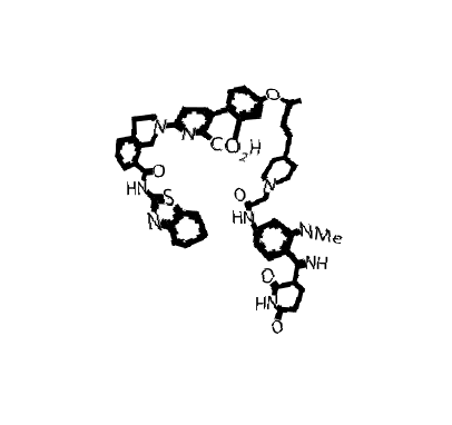 CNc1cc(NC(=O)CN2CCC(CCC(C)Oc3ccc(-c4ccc(N5CCc6cccc(C(=O)Nc7nc8ccccc8s7)c6C5)nc4C(=O)O)c(C)c3)CC2)ccc1C(=N)C1CCC(=O)NC1=O